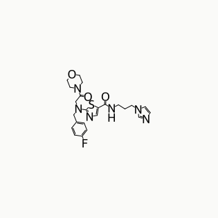 O=C(NCCCn1ccnc1)c1cnc(N(CC(=O)N2CCOCC2)Cc2ccc(F)cc2)s1